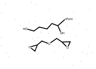 C(OCC1CO1)C1CO1.CCCCCC(O)CCCCO